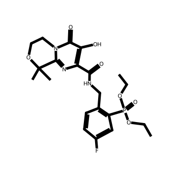 CCOP(=O)(OCC)c1cc(F)ccc1CNC(=O)c1nc2n(c(=O)c1O)CCOC2(C)C